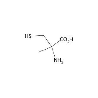 CC(N)(CS)C(=O)O